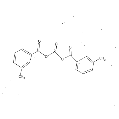 Cc1cccc(C(=O)OS(=O)OC(=O)c2cccc(C)c2)c1